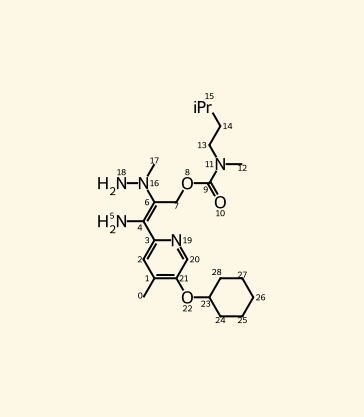 Cc1cc(/C(N)=C(\COC(=O)N(C)CCC(C)C)N(C)N)ncc1OC1CCCCC1